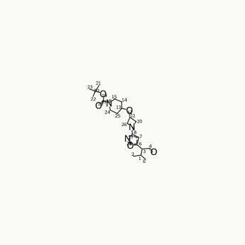 CC(C)C(C=O)c1cc(N2CC(OC3CCN(C(=O)OC(C)(C)C)CC3)C2)no1